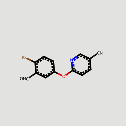 N#Cc1ccc(Oc2ccc(Br)c(C=O)c2)nc1